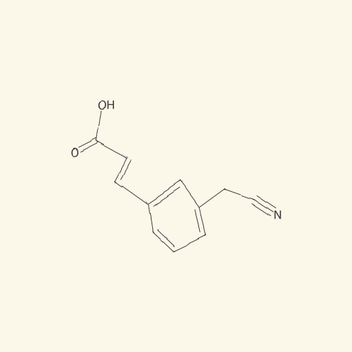 N#CCc1cccc(C=CC(=O)O)c1